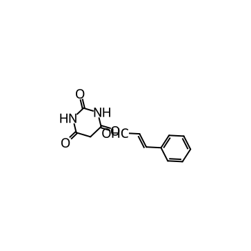 O=C1CC(=O)NC(=O)N1.O=CC=Cc1ccccc1